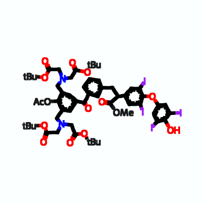 COC(=O)C(Cc1cccc(C(=O)c2cc(CN(CC(=O)OC(C)(C)C)CC(=O)OC(C)(C)C)c(OC(C)=O)c(CN(CC(=O)OC(C)(C)C)CC(=O)OC(C)(C)C)c2)c1)c1cc(I)c(Oc2cc(I)c(O)c(I)c2)c(I)c1